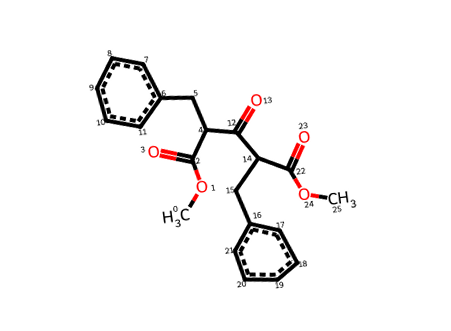 COC(=O)C(Cc1ccccc1)C(=O)C(Cc1ccccc1)C(=O)OC